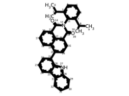 CC(C)c1cccc(C(C)C)c1N1C(=O)c2cccc3c(-c4cccc5c4[nH]c4ccccc45)ccc(c23)C1=O